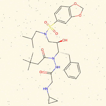 CC(C)CN(C[C@@H](O)[C@H](Cc1ccccc1)N(NC(=O)CNC1CC1)C(=O)CC(C)(C)C)S(=O)(=O)c1ccc2c(c1)OCO2